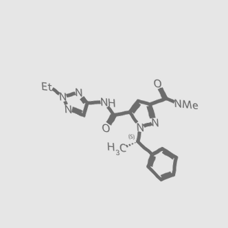 CCn1ncc(NC(=O)c2cc(C(=O)NC)nn2[C@@H](C)c2ccccc2)n1